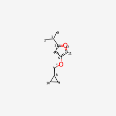 CC(C)c1cc(OCC2CC2)co1